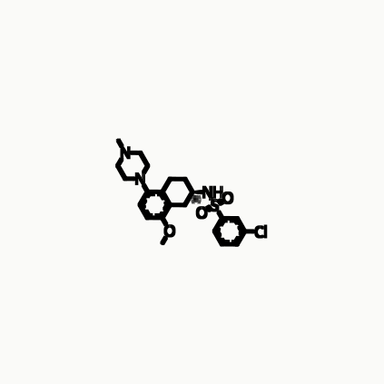 COc1ccc(N2CCN(C)CC2)c2c1C[C@H](NS(=O)(=O)c1cccc(Cl)c1)CC2